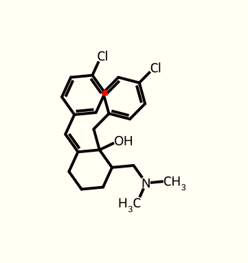 CN(C)CC1CCC/C(=C/c2ccc(Cl)cc2)C1(O)Cc1ccc(Cl)cc1